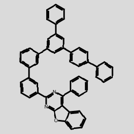 c1ccc(-c2ccc(-c3cc(-c4ccccc4)cc(-c4cccc(-c5cccc(-c6nc(-c7ccccc7)c7c(n6)oc6ccccc67)c5)c4)c3)cc2)cc1